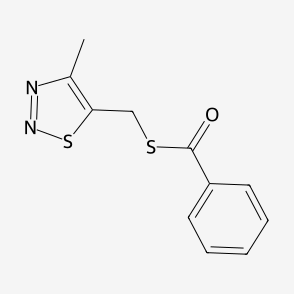 Cc1nnsc1CSC(=O)c1ccccc1